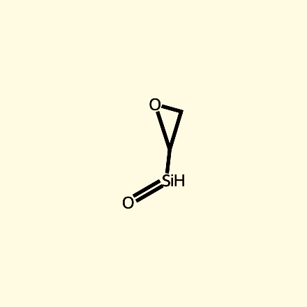 O=[SiH]C1CO1